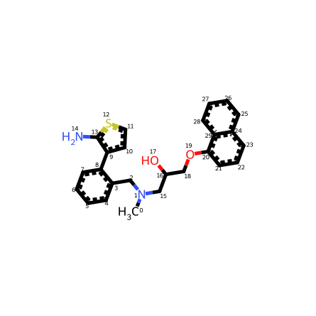 CN(Cc1ccccc1-c1ccsc1N)CC(O)COc1cccc2ccccc12